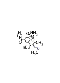 C=C(/C=C\C=C/C)Oc1c(NCCCC)cc(C(=O)n2ccnc2)cc1S(N)(=O)=O